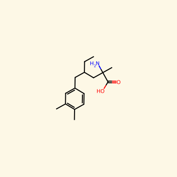 CCC(Cc1ccc(C)c(C)c1)CC(C)(N)C(=O)O